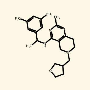 Cc1nc2c(c(NC(C)c3cc(N)cc(C(F)(F)F)c3)n1)CN(CC1CCOC1)CC2